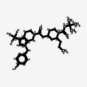 CCCC1CC(CC(=O)N2CCc3c(C(F)(F)F)nn(Cc4ccc(F)cc4)c3C2)CCN1C(=O)OC(C)(C)C